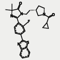 CC1(C)N=C(c2ccc(-c3nc4ccccc4s3)cc2F)N(CC[C@@H]2CCN(C(=O)C3CC3)C2)C1=O